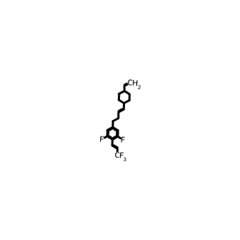 C=CC1CCC(/C=C/CCc2cc(F)c(/C=C/C(F)(F)F)c(F)c2)CC1